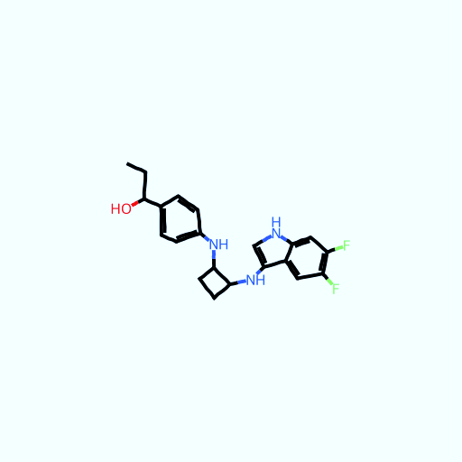 CCC(O)c1ccc(NC2CCC2Nc2c[nH]c3cc(F)c(F)cc23)cc1